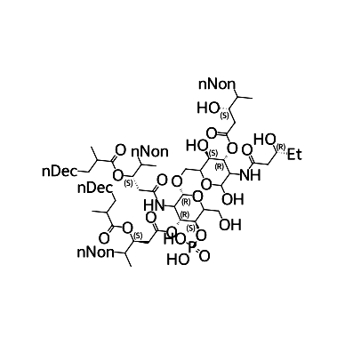 CCCCCCCCCCCC(C)C(=O)O[C@@H](CC(=O)NC1[C@H](OCC2OC(O)C(NC(=O)C[C@H](O)CC)[C@@H](OC(=O)C[C@H](O)C(C)CCCCCCCCC)[C@@H]2O)OC(CO)[C@@H](OP(=O)(O)O)[C@@H]1OC(=O)C[C@H](OC(=O)C(C)CCCCCCCCCCC)C(C)CCCCCCCCC)C(C)CCCCCCCCC